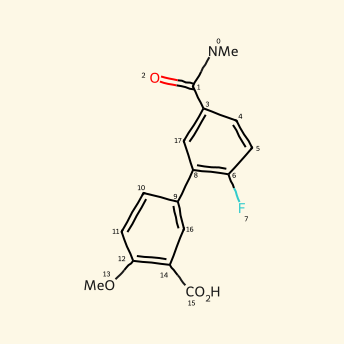 CNC(=O)c1ccc(F)c(-c2ccc(OC)c(C(=O)O)c2)c1